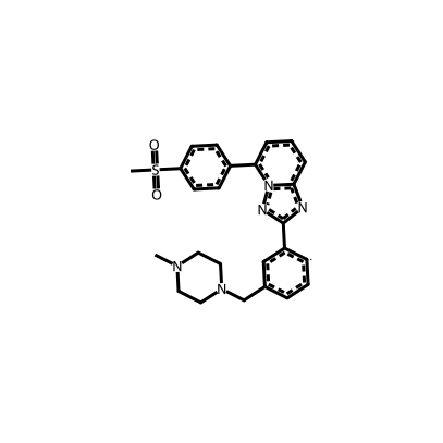 CN1CCN(Cc2cc[c]c(-c3nc4cccc(-c5ccc(S(C)(=O)=O)cc5)n4n3)c2)CC1